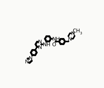 CN1CCN(Cc2ccc(C(=O)Nc3cccc(Nc4nccc(-c5ccc(-n6ccnc6)cc5)n4)c3)cc2)CC1